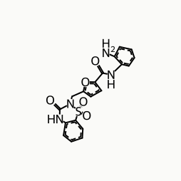 Nc1ccccc1NC(=O)c1ccc(CN2C(=O)Nc3ccccc3S2(=O)=O)o1